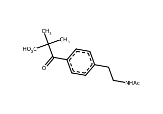 CC(=O)NCCc1ccc(C(=O)C(C)(C)C(=O)O)cc1